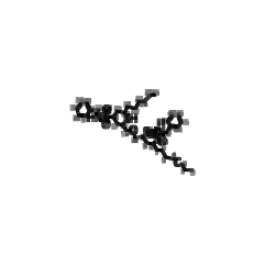 CCCCCCCCC(CC(S)COCC(S)CC(CCCCCCCC)S(=O)(=O)NCc1ccccc1)S(=O)(=O)NCc1ccccc1